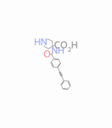 O=C(NC1(C(=O)O)CCNCC1)c1ccc(C#Cc2ccccc2)cc1